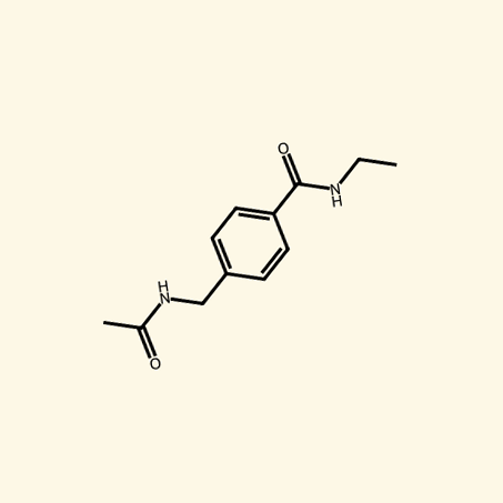 CCNC(=O)c1ccc(CNC(C)=O)cc1